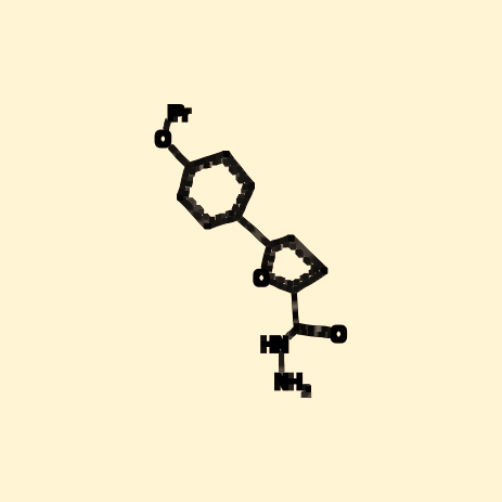 CC(C)Oc1ccc(-c2ccc(C(=O)NN)o2)cc1